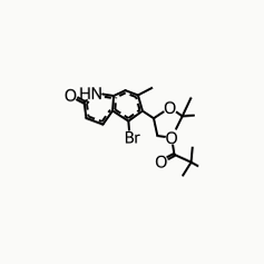 Cc1cc2[nH]c(=O)ccc2c(Br)c1C(COC(=O)C(C)(C)C)OC(C)(C)C